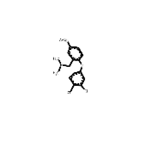 CC(=O)Nc1ccc(Oc2ccc(Cl)c(Cl)c2)c(CN(C)C)c1